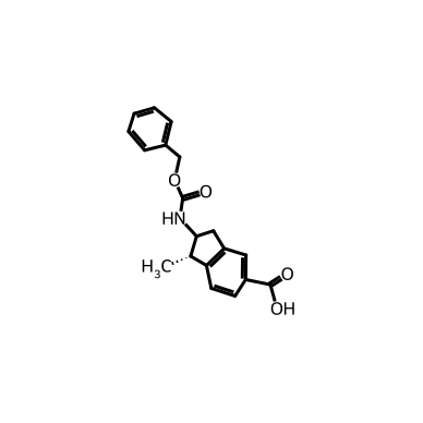 C[C@H]1c2ccc(C(=O)O)cc2CC1NC(=O)OCc1ccccc1